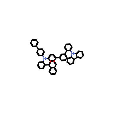 c1ccc(-c2ccc(N(c3ccc(-c4cccc(-c5ccccc5-n5c6ccccc6c6ccccc65)c4)cc3)c3ccccc3-c3cccc4ccccc34)cc2)cc1